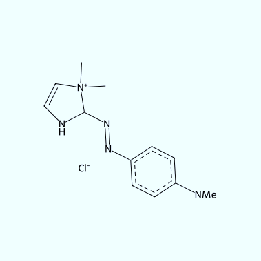 CNc1ccc(N=NC2NC=C[N+]2(C)C)cc1.[Cl-]